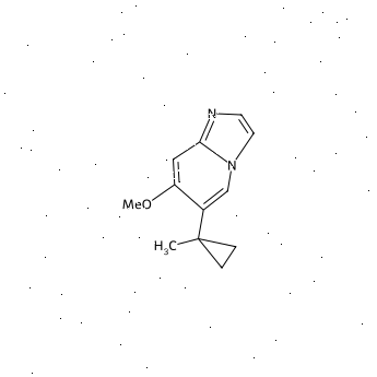 COc1cc2nccn2cc1C1(C)CC1